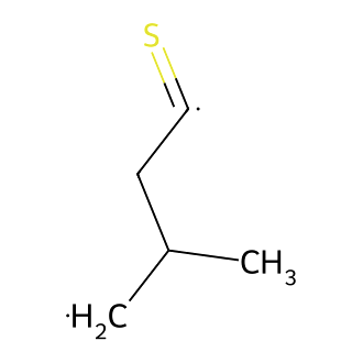 [CH2]C(C)C[C]=S